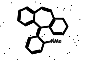 CNC1C=CC=CC1=C1C2=C(C=Cc3ccccc31)CCC=C2